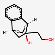 OCC[C@]1(O)C[C@@H]2CCC[C@H]1c1ccccc12